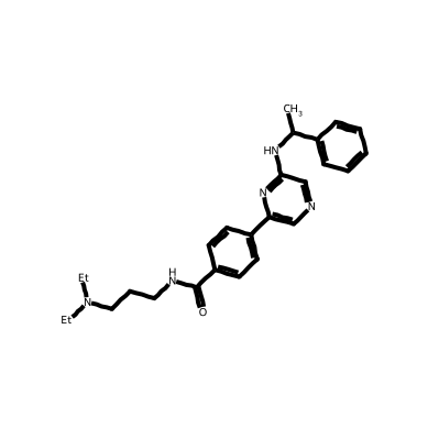 CCN(CC)CCCNC(=O)c1ccc(-c2cncc(NC(C)c3ccccc3)n2)cc1